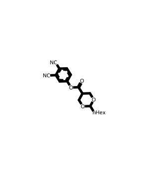 CCCCCCC1OCC(C(=O)Oc2ccc(C#N)c(C#N)c2)CO1